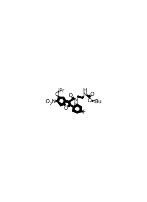 CC(C)Oc1cc2c(C(=O)NCCNC(=O)OC(C)(C)C)c(-c3ccc(F)cc3)oc2cc1[N+](=O)[O-]